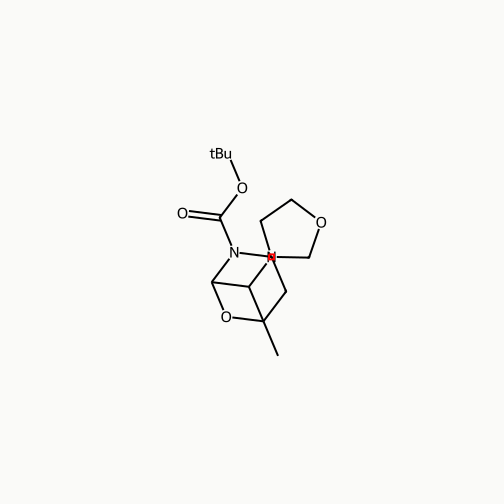 CC(C)(C)OC(=O)N1CCC2(C)OC1C2N1CCOC1